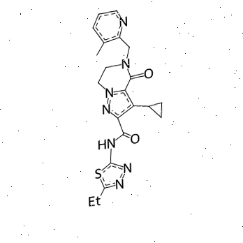 CCc1nnc(NC(=O)c2nn3c(c2C2CC2)C(=O)N(Cc2ncccc2C)CC3)s1